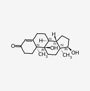 C[C@]12CC[C@@]3(O)[C@@H](CCC4=CC(=O)CC[C@@]43C)[C@@H]1CC[C@H]2O